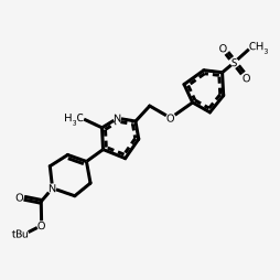 Cc1nc(COc2ccc(S(C)(=O)=O)cc2)ccc1C1=CCN(C(=O)OC(C)(C)C)CC1